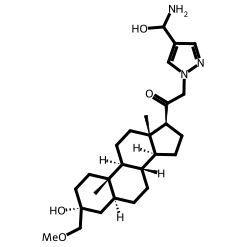 COC[C@@]1(O)CC[C@@]2(C)[C@@H](CC[C@@H]3[C@@H]2CC[C@]2(C)[C@@H](C(=O)Cn4cc(C(N)O)cn4)CC[C@@H]32)C1